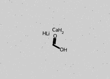 O=CO.[CaH2].[LiH]